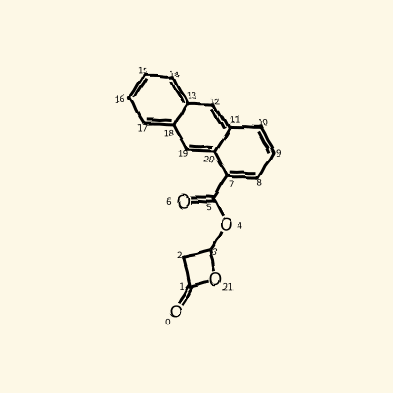 O=C1CC(OC(=O)c2cccc3cc4ccccc4cc23)O1